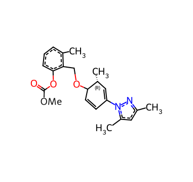 COC(=O)Oc1cccc(C)c1COC1C=CC(n2nc(C)cc2C)=C[C@H]1C